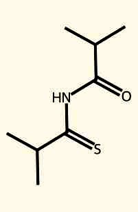 CC(C)C(=O)NC(=S)C(C)C